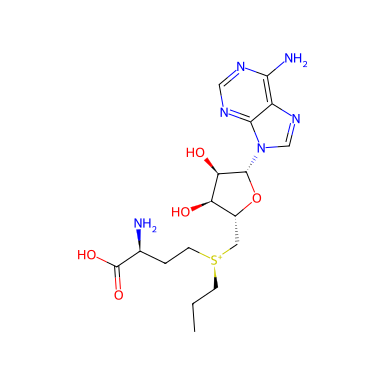 CCC[S@@+](CC[C@H](N)C(=O)O)C[C@H]1O[C@@H](n2cnc3c(N)ncnc32)[C@H](O)[C@@H]1O